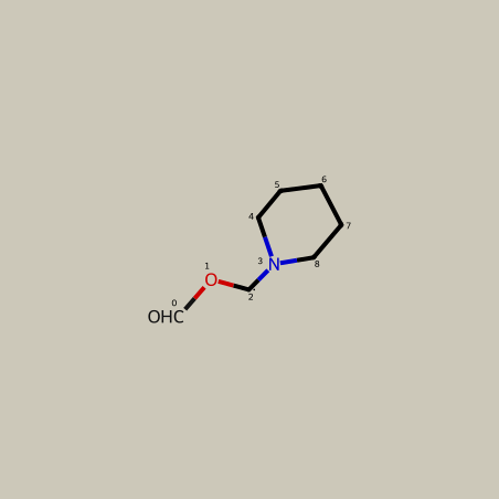 O=CO[CH]N1CCCCC1